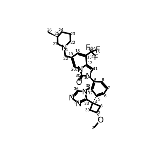 CO[C@H]1C[C@](c2cccc(-n3cc4c(C(F)(F)F)cc(CN5CCC[C@H](C)C5)cn4c3=O)c2)(c2nncn2C)C1